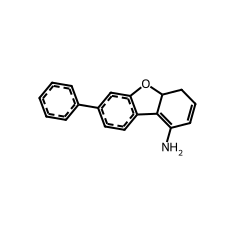 NC1=C2c3ccc(-c4ccccc4)cc3OC2CC=C1